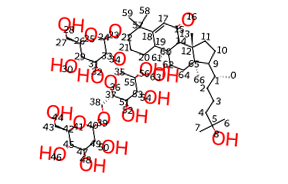 C[C@H](CCCC(C)(C)O)C1CC[C@@]2(C)C3C(=O)C=C4C(CC[C@H](O[C@@H]5O[C@H](CO)[C@@H](O)[C@H](O)[C@H]5O[C@H]5O[C@@H](CO[C@@H]6O[C@H](CO)[C@@H](O)[C@H](O)[C@H]6O)[C@H](O)[C@@H](O)[C@@H]5O)C4(C)C)[C@]3(C)[C@H](O)C[C@]12C